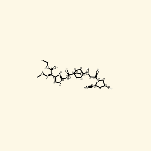 CCOC(=O)C(=NOC)c1csc(NC(=O)C23CCC(NCC(=O)N4C[C@@H](F)C[C@H]4C#N)(CC2)CC3)n1